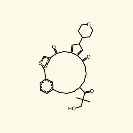 CC(C)(CO)C(=O)C1CCCC(=O)C2=CC(C3CCOCC3)C=C2CC(=O)c2csc(c2)-c2cccc(c2)CCC1